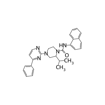 CC(C)C1CN(c2nccc(-c3ccccc3)n2)CCN1C(=O)Nc1cccc2ccccc12